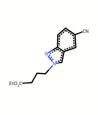 CCOC(=O)CCCn1cc2cc(C#N)ccc2n1